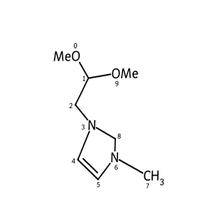 COC(CN1C=CN(C)C1)OC